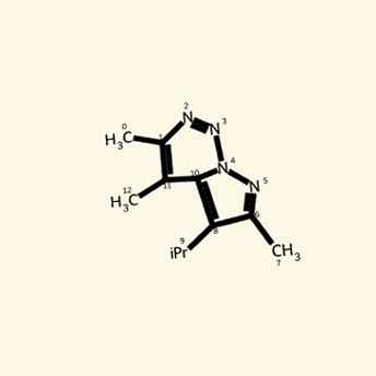 Cc1nnn2nc(C)c(C(C)C)c2c1C